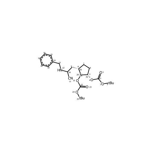 CC(C)(C)OC(=O)O[C@H]1CC[C@@H](CC(C#N)NCc2ccccc2)N1OC(=O)OC(C)(C)C